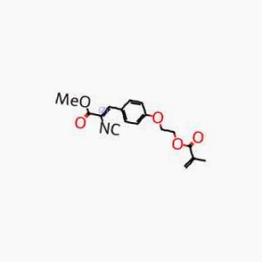 [C-]#[N+]/C(=C\c1ccc(OCCOC(=O)C(=C)C)cc1)C(=O)OC